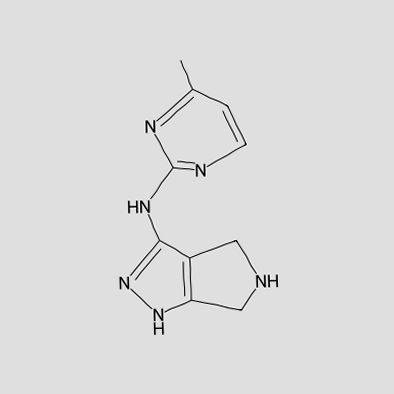 Cc1ccnc(Nc2n[nH]c3c2CNC3)n1